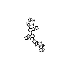 c1cc2nc([C@@H]3CC4(CN3)OCCO4)[nH]c2cc1-c1ccc(-c2ccc(-c3cnc([C@@H]4CCCN4)[nH]3)c3c2CC2(CCCC2)C3)c2c1OC1(CCCC1)O2